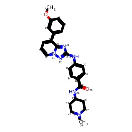 COc1cccc(-c2cccn3nc(Nc4ccc(C(=O)NC5CCN(C)CC5)cc4)nc23)c1